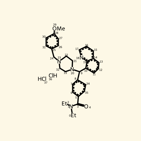 CCN(CC)C(=O)c1ccc(C(c2cccc3cccnc23)N2CCN(Cc3ccc(OC)cc3)CC2)cc1.Cl.Cl